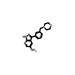 Nc1cnc2[nH]nc(-c3cccc(CN4CCOCC4)c3)c2c1